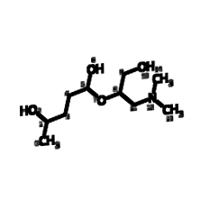 CC(O)CCC(O)OC(CO)CN(C)C